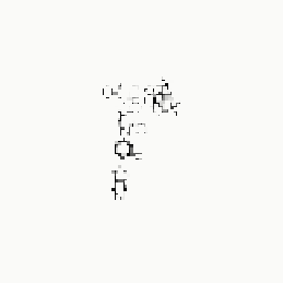 CC(=O)N(CC1CN(c2ccc(N3Cc4cn(C)nc4C3)c(F)c2)C(=O)O1)C(=O)OC(C)OP(=O)(OC(C)(C)C)OC(C)(C)C